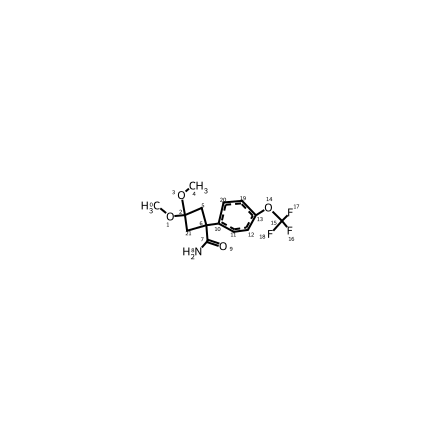 COC1(OC)CC(C(N)=O)(c2ccc(OC(F)(F)F)cc2)C1